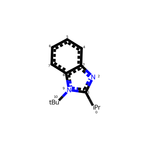 CC(C)c1nc2ccccc2n1C(C)(C)C